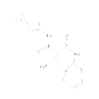 O=C(NC1CC2(CC2)C1)c1c(O)c2cccnc2[nH]c1=O